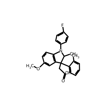 COc1ccc2c(c1)C(CC(=O)O)(c1ccccc1C)C(C)N2c1ccc(F)cc1